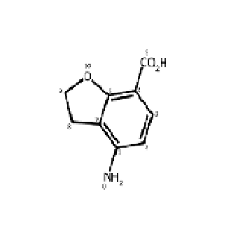 Nc1ccc(C(=O)O)c2c1CCO2